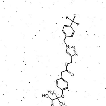 CC(C)(Oc1ccc(CC(=O)OCc2cn(Cc3ccc(C(F)(F)F)cc3)nn2)cc1)C(=O)O